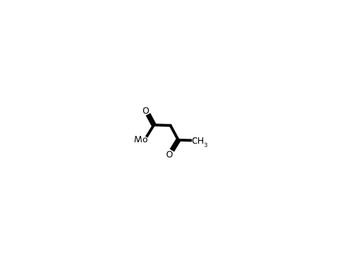 CC(=O)C[C](=O)[Mo]